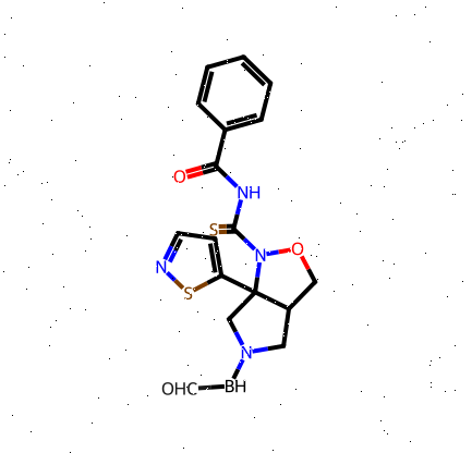 O=CBN1CC2CON(C(=S)NC(=O)c3ccccc3)C2(c2ccns2)C1